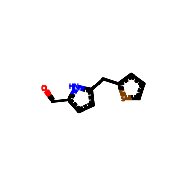 O=Cc1ccc(Cc2cccs2)[nH]1